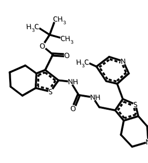 Cc1cncc(-c2sc3c(c2CNC(=O)Nc2sc4c(c2C(=O)OC(C)(C)C)CCCC4)CCNC3)c1